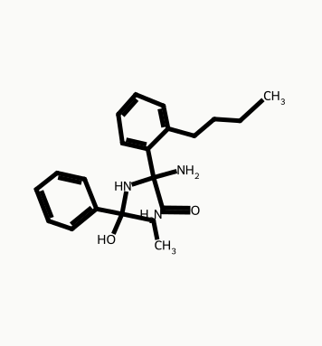 CCCCc1ccccc1C(N)(NC(O)(CC)c1ccccc1)C(N)=O